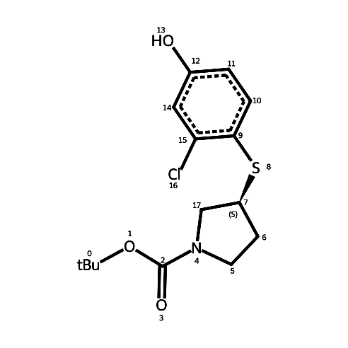 CC(C)(C)OC(=O)N1CC[C@H](Sc2ccc(O)cc2Cl)C1